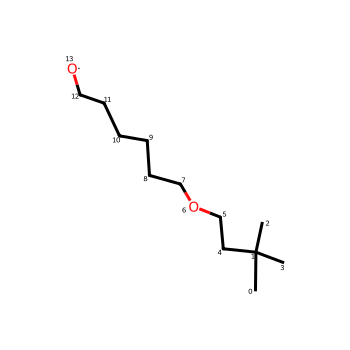 CC(C)(C)CCOCCCCCC[O]